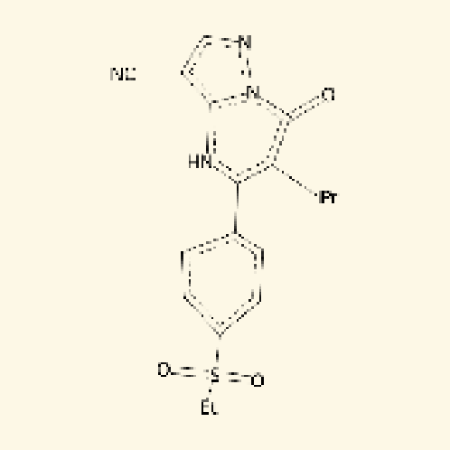 CCS(=O)(=O)c1ccc(-c2[nH]c3c(C#N)cnn3c(=O)c2C(C)C)cc1